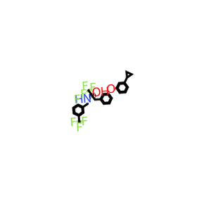 O[C@@](Cc1cccc(Oc2cccc(C3CC3)c2)c1)(NCc1cc(C(F)(F)F)ccc1F)C(F)(F)F